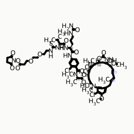 COc1cc2cc(c1Cl)N(C)C(O)C[C@H](OC(=O)[C@H](C)N(C)C(=O)c1ccc(NC(=O)[C@H](CCCNC(N)=O)NC(=O)[C@@H](NC(=S)NCCOCCOCCC(=O)ON3C(=O)CCC3=O)C(C)C)cc1Cl)[C@]1(C)O[C@H]1[C@H](C)[C@@H]1C[C@@](O)(NC(=O)O1)[C@H](OC)/C=C/C=C(\C)C2